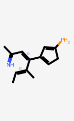 C/C=C(C)/C(=C\C(C)=N)C1=CCC(P)=C1